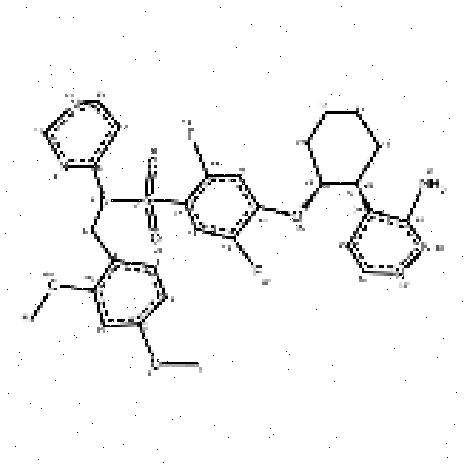 COc1ccc(CN(c2ccncn2)S(=O)(=O)c2cc(F)c(O[C@H]3CCCC[C@H]3c3ccnnc3N)cc2F)c(OC)c1